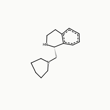 c1ccc2c(c1)CCN[C@H]2CN1CCCCC1